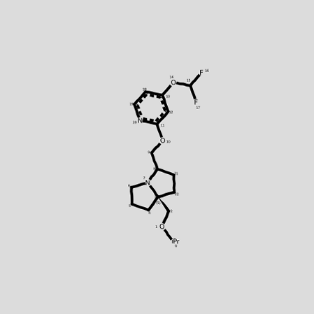 CC(C)OC[C@@]12CCCN1C(COc1cc(OC(F)F)ccn1)CC2